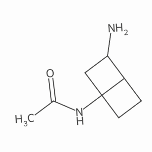 CC(=O)NC12CCC1C(N)C2